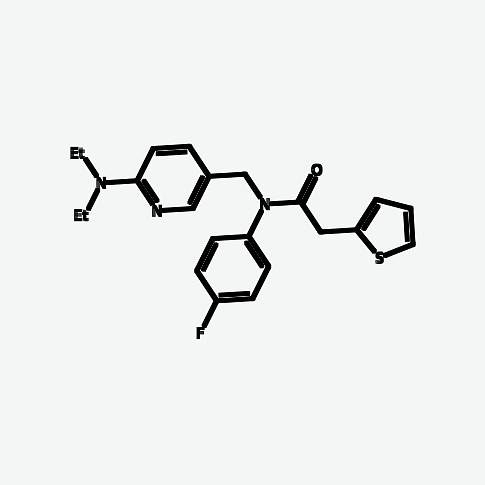 CCN(CC)c1ccc(CN(C(=O)Cc2cccs2)c2ccc(F)cc2)cn1